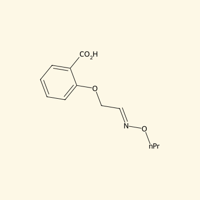 CCCON=CCOc1ccccc1C(=O)O